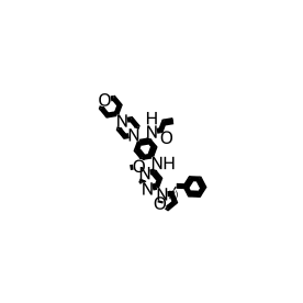 C=CC(=O)Nc1cc(Nc2cc(N3OCC[C@H]3Cc3ccccc3)ncn2)c(OC)cc1N1CCN(C2CCOCC2)CC1